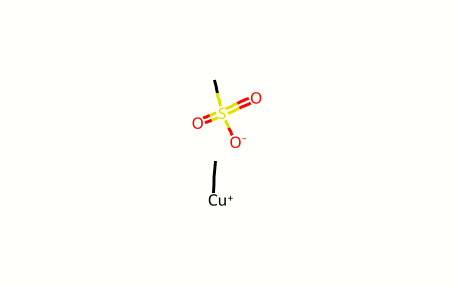 CS(=O)(=O)[O-].[CH3][Cu+]